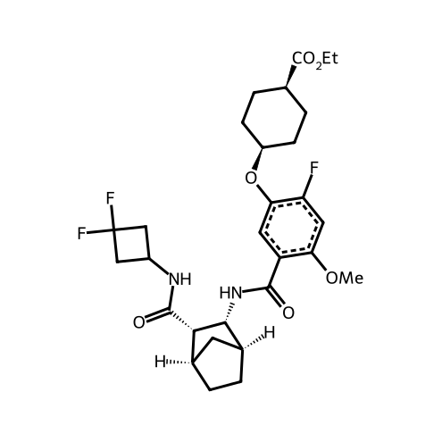 CCOC(=O)[C@H]1CC[C@@H](Oc2cc(C(=O)N[C@@H]3[C@H]4CC[C@H](C4)[C@@H]3C(=O)NC3CC(F)(F)C3)c(OC)cc2F)CC1